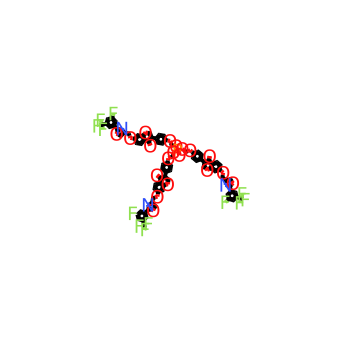 O=c1c(-c2ccc(OCOP(=O)(OCOc3ccc(-c4coc5cc(OCc6coc(-c7cc(F)cc(C(F)(F)F)c7)n6)ccc5c4=O)cc3)OCOc3ccc(-c4coc5cc(OCc6coc(-c7cc(F)cc(C(F)(F)F)c7)n6)ccc5c4=O)cc3)cc2)coc2cc(OCc3coc(-c4cc(F)cc(C(F)(F)F)c4)n3)ccc12